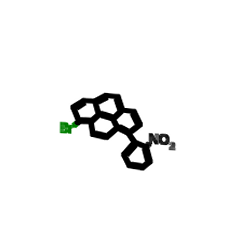 O=[N+]([O-])c1ccccc1-c1ccc2ccc3ccc(Br)c4ccc1c2c34